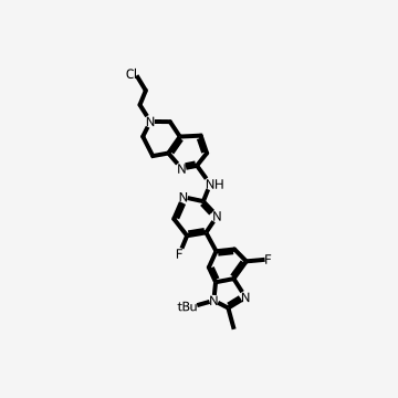 Cc1nc2c(F)cc(-c3nc(Nc4ccc5c(n4)CCN(CCCl)C5)ncc3F)cc2n1C(C)(C)C